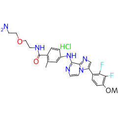 COc1ccc(-c2cnc3c(Nc4ccc(C(=O)NCCOCCN)c(C)c4)nccn23)c(F)c1F.Cl